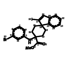 COC(=O)C1(Nc2cccc(Br)c2)CCC2(CC1)C(I)=Cc1ccccc12